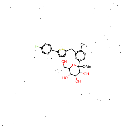 COC1(c2ccc(C)c(Cc3ccc(-c4ccc(F)cc4)s3)c2)O[C@H](CO)[C@@H](O)[C@H](O)[C@H]1O